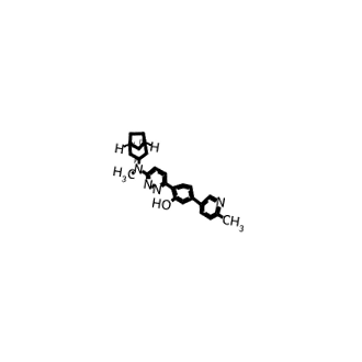 Cc1ccc(-c2ccc(-c3ccc(N(C)[C@H]4C[C@@H]5CC[C@@H](C5)C4)nn3)c(O)c2)cn1